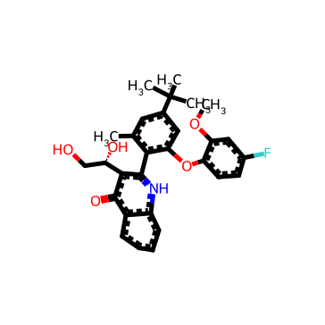 COc1cc(F)ccc1Oc1cc(C(C)(C)C)cc(C)c1-c1[nH]c2ccccc2c(=O)c1[C@@H](O)CO